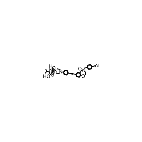 CC(C)[C@@H](NS(=O)(=O)N1CCN(c2ccc(C#Cc3ccc4c(c3)C(=O)N(Cc3ccc(C#N)cc3)CCO4)cc2)CC1)C(=O)O